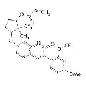 C=CC(=O)OC1CCC(Oc2ccc3cc(-c4ccc(OC)cc4OC(F)(F)F)c(=O)oc3c2)C1(C)C(F)(F)F